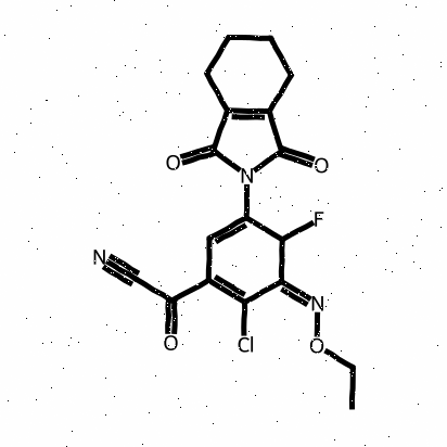 CCON=C1C(Cl)=C(C(=O)C#N)C=C(N2C(=O)C3=C(CCCC3)C2=O)C1F